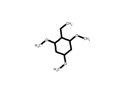 [CH2]CC1C(OC)CC(OC)CC1OC